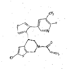 C=CC(=O)N1Cc2sc(Cl)cc2[C@H](c2cscc2-c2cnc(F)c(C)c2)C1